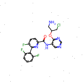 NCC(CCl)Oc1ncncc1NC(=O)c1ccc(F)c(-c2c(F)cccc2F)n1